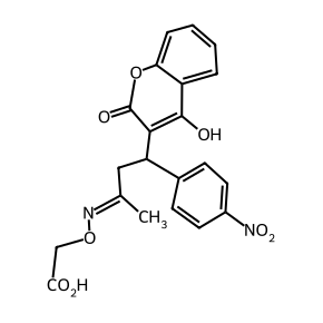 C/C(CC(c1ccc([N+](=O)[O-])cc1)c1c(O)c2ccccc2oc1=O)=N\OCC(=O)O